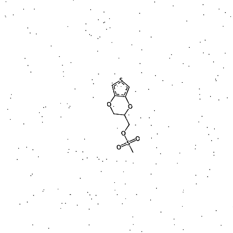 CS(=O)(=O)OCC1COc2cscc2O1